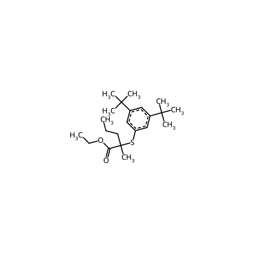 CCCC(C)(Sc1cc(C(C)(C)C)cc(C(C)(C)C)c1)C(=O)OCC